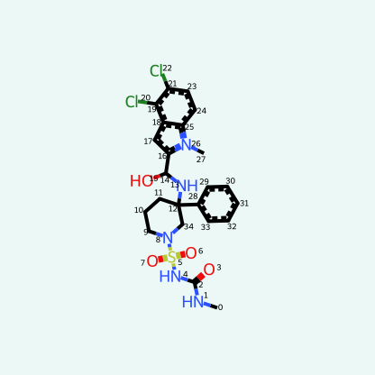 CNC(=O)NS(=O)(=O)N1CCCC(NC(O)c2cc3c(Cl)c(Cl)ccc3n2C)(c2ccccc2)C1